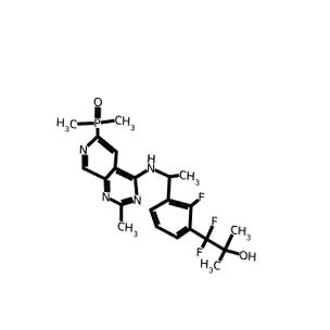 Cc1nc(NC(C)c2cccc(C(F)(F)C(C)(C)O)c2F)c2cc(P(C)(C)=O)ncc2n1